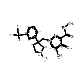 CNC(=O)c1nn(CC2(c3cccc(C(F)(F)F)c3)CCN(C)C2)cc(O)c1=O